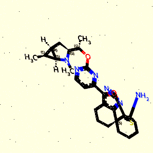 C[C@H]1[C@H]2C[C@@H]([C@H](C)Oc3nccc(-c4onc5c4CCC[C@@]54CCCc5sc(N)c(C#N)c54)n3)N(C)[C@@H]12